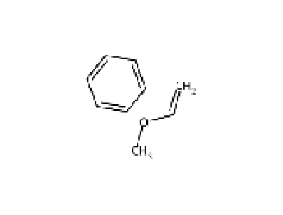 C=COC.c1ccccc1